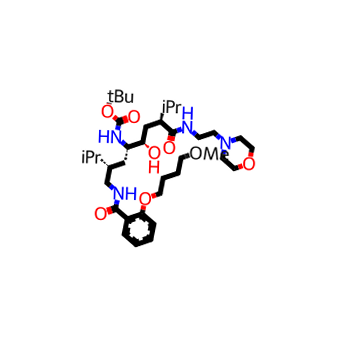 COCCCCOc1ccccc1C(=O)NC[C@@H](C[C@H](NC(=O)OC(C)(C)C)[C@@H](O)C[C@H](C(=O)NCCN1CCOCC1)C(C)C)C(C)C